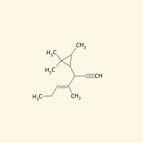 C#CC(C(C)=CCC)C1C(C)C1(C)C